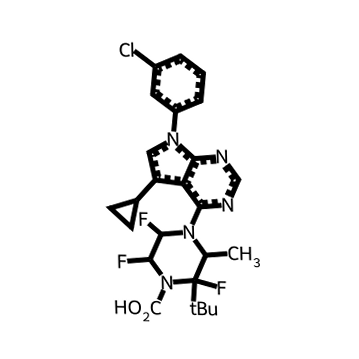 CC1N(c2ncnc3c2c(C2CC2)cn3-c2cccc(Cl)c2)C(F)C(F)N(C(=O)O)C1(F)C(C)(C)C